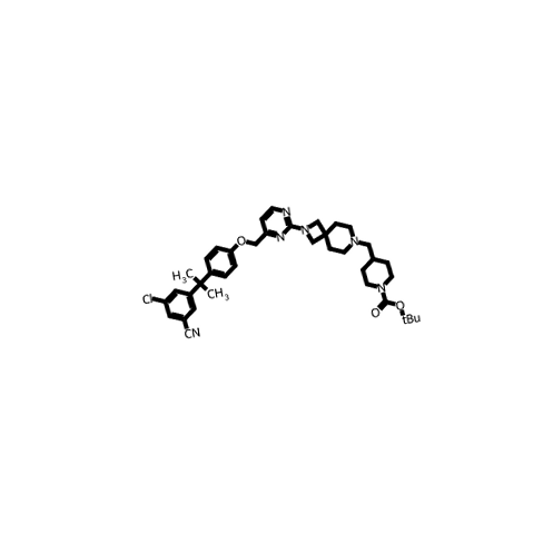 CC(C)(C)OC(=O)N1CCC(CN2CCC3(CC2)CN(c2nccc(COc4ccc(C(C)(C)c5cc(Cl)cc(C#N)c5)cc4)n2)C3)CC1